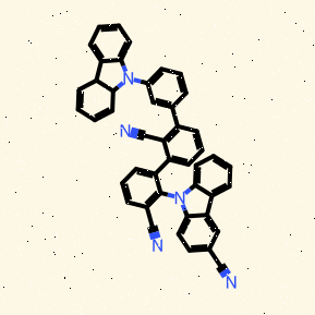 N#Cc1ccc2c(c1)c1ccccc1n2-c1c(C#N)cccc1-c1cccc(-c2cccc(N3c4ccccc4C4C=CC=CC43)c2)c1C#N